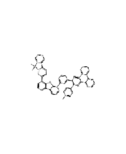 Cc1ccc(-c2nc3c4ccccc4c4ccccc4c3nc2-c2cccc(-c3cccc4c3sc3c(-c5ccc6c(c5)C(C)(C)c5ccccc5-6)cccc34)c2)cc1